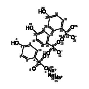 O=S(=O)([O-])c1ccc(O)cc1.O=S(=O)([O-])c1ccc(O)cc1.O=S(=O)([O-])c1ccc(O)cc1.[Na+].[Na+].[Na+]